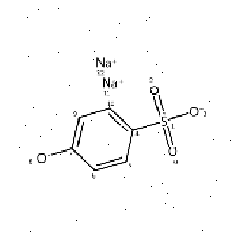 O=S(=O)([O-])c1ccc([O-])cc1.[Na+].[Na+]